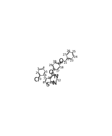 Clc1ccccc1-c1csc2ncnc(Oc3ccc(OCc4ccccc4)cc3)c12